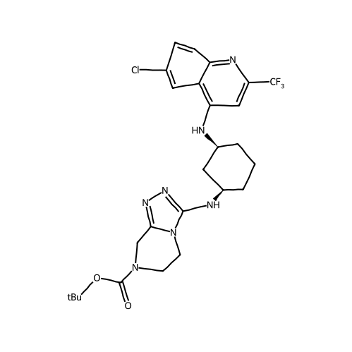 CC(C)(C)OC(=O)N1CCn2c(nnc2N[C@@H]2CCC[C@H](Nc3cc(C(F)(F)F)nc4ccc(Cl)cc34)C2)C1